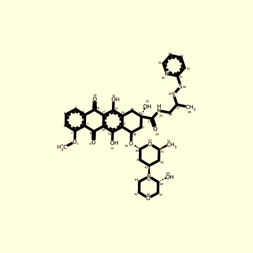 COc1cccc2c1C(=O)c1c(O)c3c(c(O)c1C2=O)C[C@@](O)(C(=O)NCC(C)SSc1ccccn1)CC3O[C@H]1C[C@H](N2CCOC[C@H]2O)C[C@H](C)O1